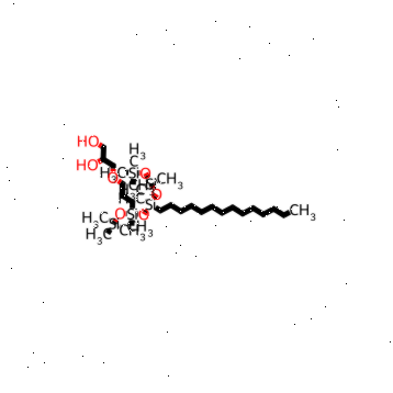 CCCCCCCCCCCCCC[Si](C)(O[Si](C)(C)O[Si](C)(C)C)O[Si](C)(CCCOCC(O)CO)O[Si](C)(C)C